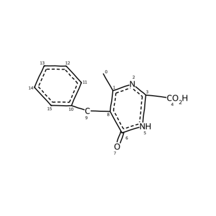 Cc1nc(C(=O)O)[nH]c(=O)c1Cc1ccccc1